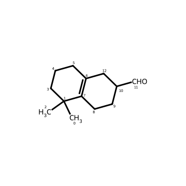 CC1(C)CCCC2=C1CCC(C=O)C2